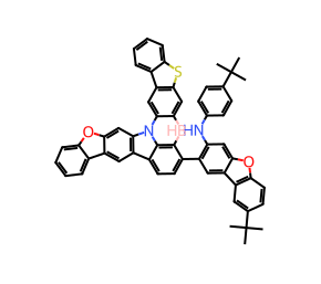 CC(C)(C)c1ccc(Nc2cc3oc4ccc(C(C)(C)C)cc4c3cc2-c2ccc3c4cc5c(cc4n4c3c2Bc2cc3sc6ccccc6c3cc2-4)oc2ccccc25)cc1